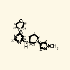 Cn1cc(N2CCC[C@@H](Nc3cc(N4CCOCC4)ncn3)C2)cn1